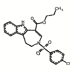 CCCOC(=O)C1=CN(S(=O)(=O)c2ccc(Cl)cc2)CCc2c1[nH]c1ccccc21